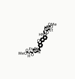 CCC(NC(=O)OC)C(=O)N(Cc1nc2ccc3cc4c(cc3c2[nH]1)OCc1cc(-c2cnc(CN(C(=O)CNC(=O)OC)C(CC)CC)[nH]2)ccc1-4)CC(C)C